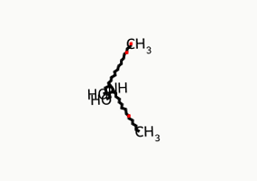 CCCCCCCCCCCCCCCC(CCO)NC(CCO)CCCCCCCCCCCCCCC